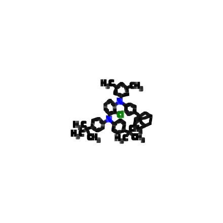 Cc1cc(C)cc(N(c2ccc(C34CC5CC(CC(C5)C3)C4)cc2)c2cccc(N(c3ccc(C(C)(C)C)cc3)c3ccc(C(C)(C)C)cc3)c2Cl)c1